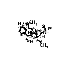 CCC[C@](NC(=N)N[N+](=O)[O-])(NC(=O)[C@H](CC)c1ccccc1)C(=O)N[CH]CC(C)C